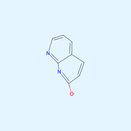 [O]c1ccc2cccnc2n1